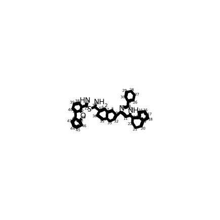 N=C(SC(N)C1=CC2=CC(C3=CC(C4=c5ccccc5=CCC4)NC(C4=CCCC=C4)=N3)=CCC2C=C1)C1C=CC=C2c3ccccc3OC21